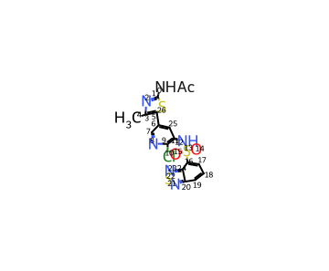 CC(=O)Nc1nc(C)c(-c2cnc(Cl)c(NS(=O)(=O)c3cccc4nsnc34)c2)s1